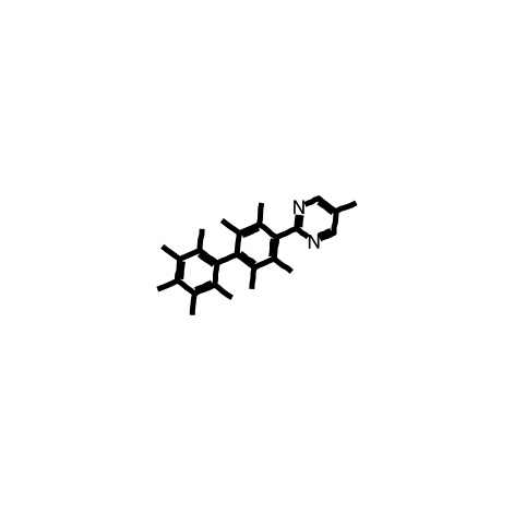 Cc1cnc(-c2c(C)c(C)c(-c3c(C)c(C)c(C)c(C)c3C)c(C)c2C)nc1